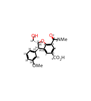 CNC(=O)c1cc(C(=O)O)cc2c1O[C@@H](CO)[C@@H]2c1cccc(OC)c1